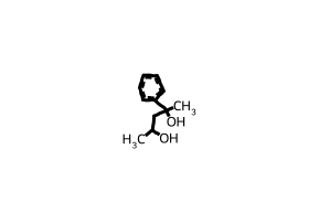 CC(O)CC(C)(O)c1ccccc1